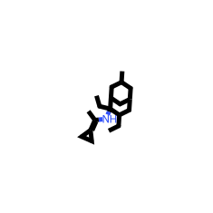 CCC1CC2CC(C)CC(C2)C1(CC)NC(C)=C1CC1